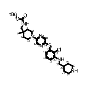 CC1(CNC(=O)OC(C)(C)C)CCN(c2cnc(Sc3cccc(NCC4CCNCC4)c3Cl)cn2)CC1